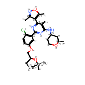 CNCC(COc1ccc(Cl)c(-c2nc(N[C@@H]3CCO[C@H](C)C3)c(C)c(-c3c(C)noc3C)n2)c1)O[Si](C)(C)C(C)(C)C